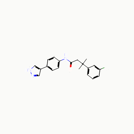 CC(C)(CC(=O)Nc1ccc(-c2cn[nH]c2)cc1)c1cccc(Cl)c1